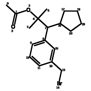 CC(=O)OC(C)(C)C(c1cccc(CBr)c1)C1CCCC1